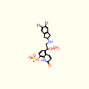 CCc1cc2c(cc1CC)CC(NCC(O)c1ccc(OS(C)(=O)=O)c3[nH]c(=O)ccc13)C2.O